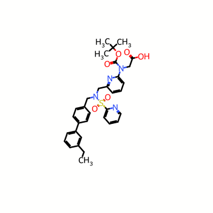 CCc1cccc(-c2ccc(CN(Cc3cccc(N(CC(=O)O)C(=O)OC(C)(C)C)n3)S(=O)(=O)c3ccccn3)cc2)c1